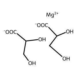 O=C([O-])C(O)CO.O=C([O-])C(O)CO.[Mg+2]